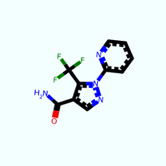 NC(=O)c1cnn(-c2ccccn2)c1C(F)(F)F